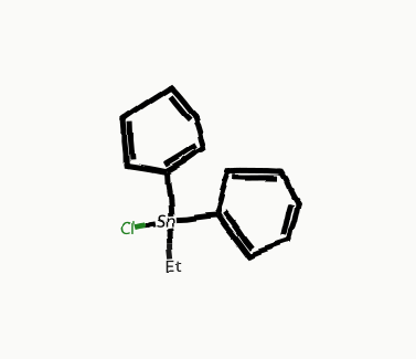 C[CH2][Sn]([Cl])([c]1ccccc1)[c]1ccccc1